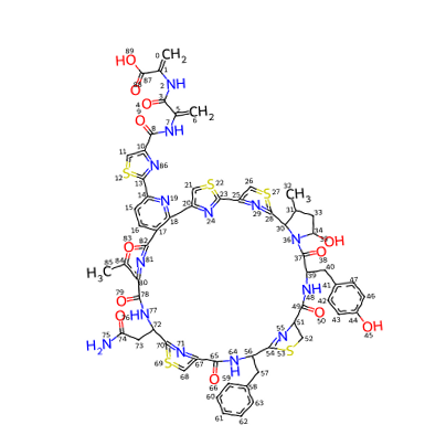 C=C(NC(=O)C(=C)NC(=O)c1csc(-c2ccc3c(n2)-c2csc(n2)-c2csc(n2)C2C(C)CC(O)N2C(=O)C(Cc2ccc(O)cc2)NC(=O)C2CSC(=N2)C(Cc2ccccc2)NC(=O)c2csc(n2)C(CC(N)=O)NC(=O)c2nc-3oc2C)n1)C(=O)O